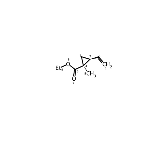 C=C[C@@H]1C[C@]1(C)C(=O)OCC